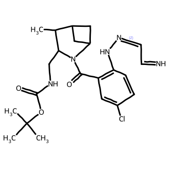 CC1C2CC(C2)N(C(=O)c2cc(Cl)ccc2N/N=C\C=N)C1CNC(=O)OC(C)(C)C